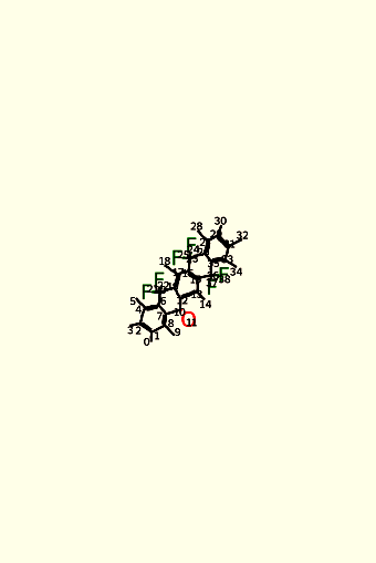 Cc1c(C)c(C)c2c(c1C)C(=O)c1c(C)c3c(c(C)c1C2(F)F)C(F)(F)c1c(C)c(C)c(C)c(C)c1C3(F)F